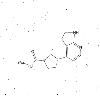 CC(C)(C)OC(=O)N1CCC(c2ccnc3c2CCN3)C1